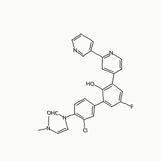 CN(C)/C=C\N(C=O)c1ccc(-c2cc(F)cc(-c3ccnc(-c4cccnc4)c3)c2O)cc1Cl